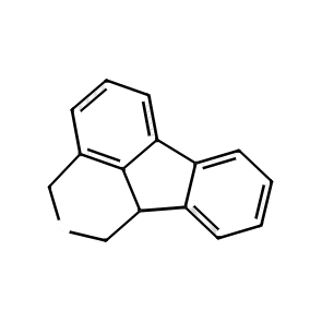 c1ccc2c(c1)-c1cccc3c1C2CSC3